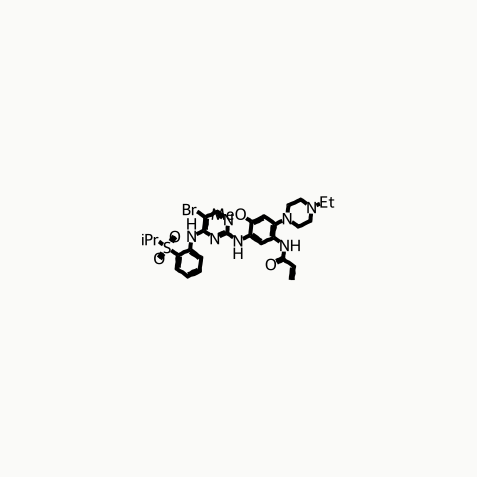 C=CC(=O)Nc1cc(Nc2ncc(Br)c(Nc3ccccc3S(=O)(=O)C(C)C)n2)c(OC)cc1N1CCN(CC)CC1